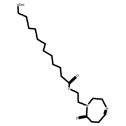 CCCCCCCCCCCCCCCCCCCCCC(=O)OCCN1CC/N=C\CCC1=O